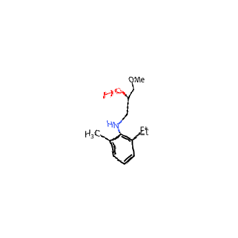 CCc1cccc(C)c1NC[C@@H](O)COC